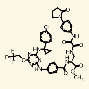 COC(=O)[C@H](CNC(=O)C(=O)Nc1ccc(N2CCCC2=O)cc1)NC(=O)c1ccc(Nc2nc(NC3(c4ccc(Cl)cc4)CC3)nc(OCC(F)(F)F)n2)cc1